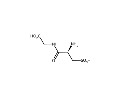 N[C@@H](CS(=O)(=O)O)C(=O)NCC(=O)O